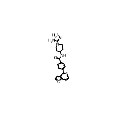 N/N=C(\N)N1CCC(NC(=O)c2ccc(-c3nccc4occc34)cc2)CC1